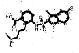 Cc1c(S(=O)(=O)Nc2cccc(C(=O)O)c2CCCN(C)C)sc2ccc(Cl)cc12